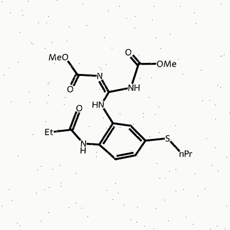 CCCSc1ccc(NC(=O)CC)c(NC(=NC(=O)OC)NC(=O)OC)c1